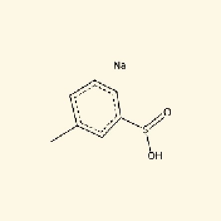 Cc1cccc(S(=O)O)c1.[Na]